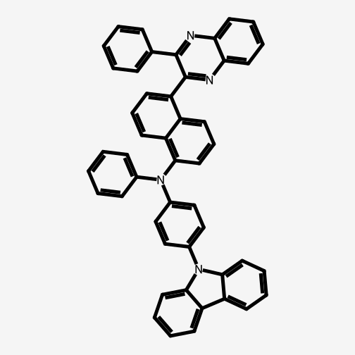 c1ccc(-c2nc3ccccc3nc2-c2cccc3c(N(c4ccccc4)c4ccc(-n5c6ccccc6c6ccccc65)cc4)cccc23)cc1